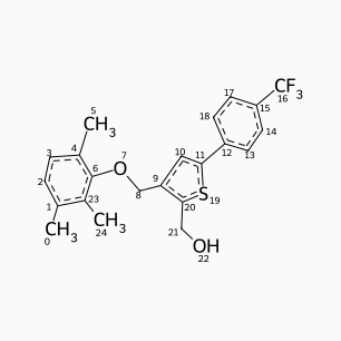 Cc1ccc(C)c(OCc2cc(-c3ccc(C(F)(F)F)cc3)sc2CO)c1C